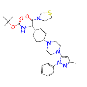 Cc1cc(N2CCN(C3CCC(C(NC(=O)OC(C)(C)C)C(=O)N4CCSC4)CC3)CC2)n(-c2ccccc2)n1